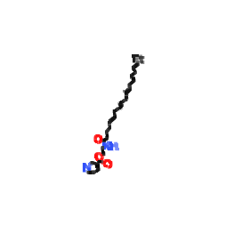 CCC=CCC=CCC=CCC=CCC=CCCCC(=O)NCCOC(=O)c1cccnc1